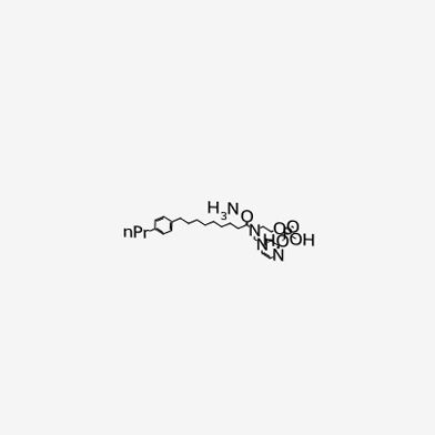 CCCc1ccc(CCCCCCCCC(=O)N(CCOP(=O)(O)O)CN2C=CN=CC2)cc1.N